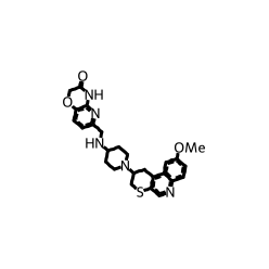 COc1ccc2ncc3c(c2c1)CC(N1CCC(NCc2ccc4c(n2)NC(=O)CO4)CC1)CS3